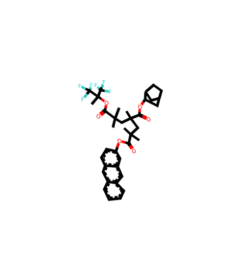 CC(C)(CC(C)(CC(C)(C)C(=O)OC(C)(C(F)(F)F)C(F)(F)F)C(=O)OC1CC2CCC1C2)C(=O)Oc1ccc2cc3ccccc3cc2c1